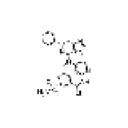 CCC(Nc1nccc(N(C)c2nc(-c3ccccc3)cc3ncnn23)n1)c1cccc(S(N)(=O)=O)c1